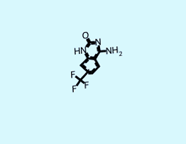 Nc1nc(=O)[nH]c2cc(C(F)(F)F)ccc12